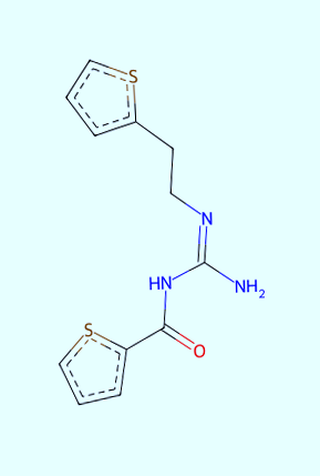 NC(=NCCc1cccs1)NC(=O)c1cccs1